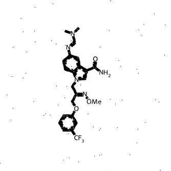 CON=C(COc1cccc(C(F)(F)F)c1)Cn1cc(C(N)=O)c2cc(N=CN(C)C)ccc21